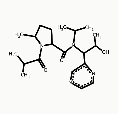 CC(C)C(=O)N1C(C)CCC1C(=O)N(C(C)C)C(c1cnccn1)C(C)O